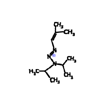 CC(C)=C/N=N/N(C(C)C)C(C)C